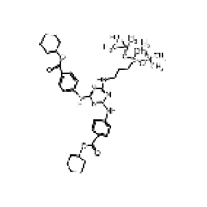 C[Si](C)(C)O[Si](C)(CCCNc1nc(Nc2ccc(C(=O)OC3CCCCC3)cc2)nc(Nc2ccc(C(=O)OC3CCCCC3)cc2)n1)O[Si](C)(C)C